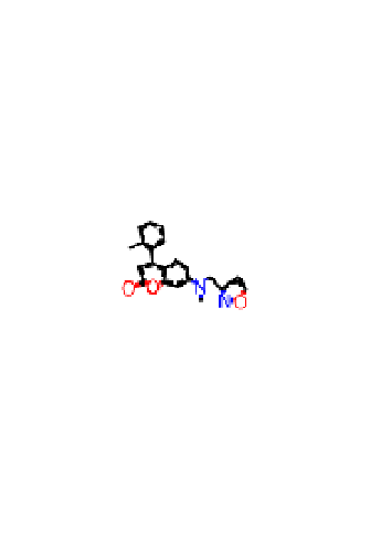 Cc1ccccc1-c1cc(=O)oc2cc(N(C)Cc3ccon3)ccc12